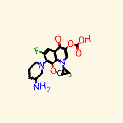 COc1c(N2CCCC(N)C2)c(F)cc2c(=O)c(OC(=O)O)cn(C3CC3)c12